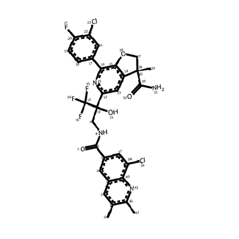 Cc1cc2cc(C(=O)NCC(O)(c3cc4c(c(-c5ccc(F)c(Cl)c5)n3)OC[C@]4(C)C(N)=O)C(F)(F)F)cc(Cl)c2nc1C